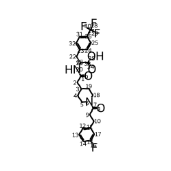 O=C(CC1CCN(C(=O)CCc2cccc(F)c2)CC1)N[C@@H](Cc1ccc(C(F)(F)F)cc1)C(=O)O